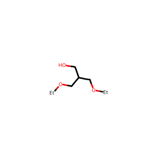 CCOCC(CO)COCC